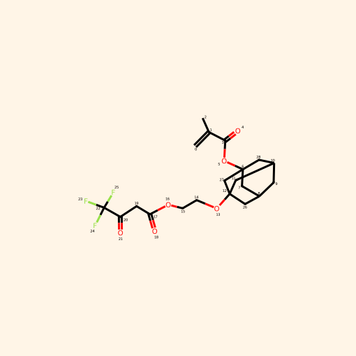 C=C(C)C(=O)OC12CC3CC(CC(OCCOC(=O)CC(=O)C(F)(F)F)(C3)C1)C2